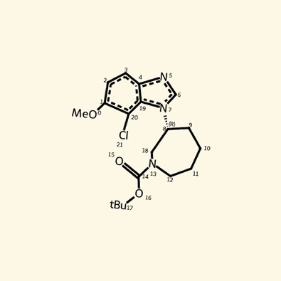 COc1ccc2ncn([C@@H]3CCCCN(C(=O)OC(C)(C)C)C3)c2c1Cl